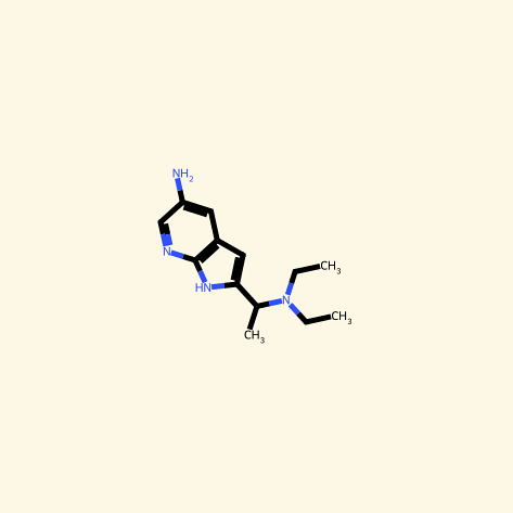 CCN(CC)C(C)c1cc2cc(N)cnc2[nH]1